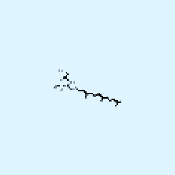 CC[C@H](C)CC(=O)N[C@@H](CSC/C=C(\C)CC/C=C(\C)CCC=C(C)C)C(=O)O